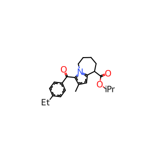 CCc1ccc(C(=O)c2c(C)cc3n2CCCCC3C(=O)OC(C)C)cc1